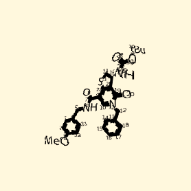 COc1ccc(CNC(=O)c2cn(Cc3ccccc3)c(=O)c3c2SC[C@@H]3NC(=O)OC(C)(C)C)cc1